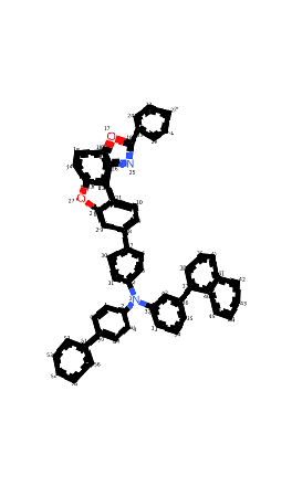 C1=CC(N(c2ccc(C3=CC=C4c5c(ccc6oc(-c7ccccc7)nc56)OC4C3)cc2)c2cccc(-c3cccc4ccccc34)c2)CC=C1c1ccccc1